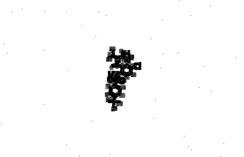 C=C(N)N(C(=C)c1cc(Cl)ccc1NS(=O)(=O)c1ccc(C(C)(C)C)cc1)C(C)C